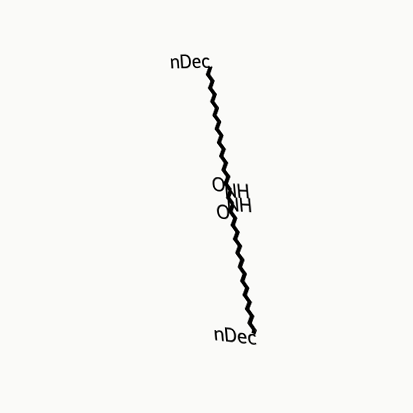 CCCCCCCCCCCCCCCCCCCCCCCCCCCC(=O)NCNC(=O)CCCCCCCCCCCCCCCCCCCCCCCCCCC